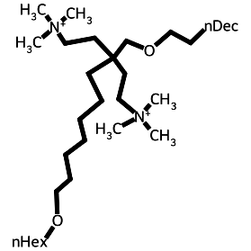 CCCCCCCCCCCCOCC(CCCCCCCOCCCCCC)(CC[N+](C)(C)C)CC[N+](C)(C)C